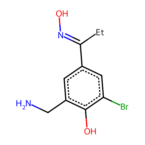 CCC(=NO)c1cc(Br)c(O)c(CN)c1